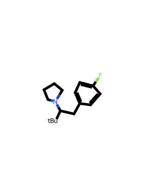 CC(C)(C)C(Cc1ccc(F)cc1)N1CCCC1